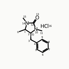 CC1[C@H](Cc2ccccc2)N(C)C(=O)N1C.Cl